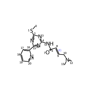 CSc1nc(NC(=O)/C=C/CN(C)C)nc(-c2ccccn2)n1